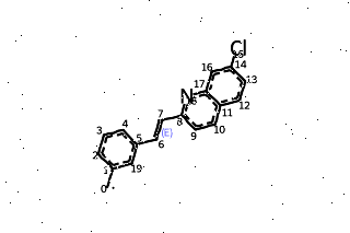 [CH2]c1cccc(/C=C/c2ccc3ccc(Cl)cc3n2)c1